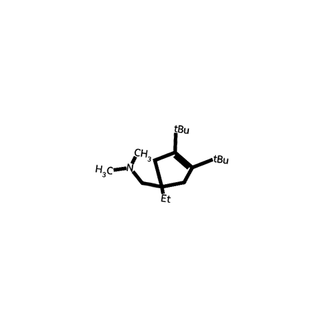 CCC1(CN(C)C)CC(C(C)(C)C)=C(C(C)(C)C)C1